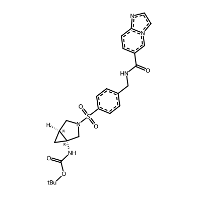 CC(C)(C)OC(=O)N[C@]12C[C@H]1CN(S(=O)(=O)c1ccc(CNC(=O)c3ccc4nccn4c3)cc1)C2